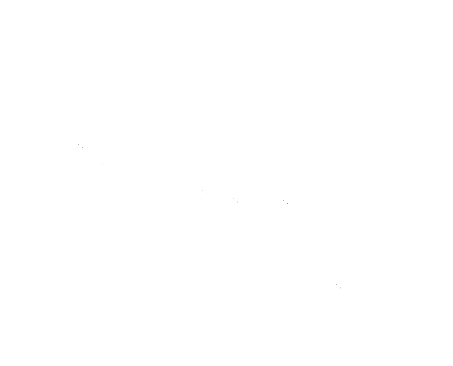 C[C@H](F)C[C@@](C)(CNc1ccc(-c2cc(Cl)cc(C(N)=O)c2)nn1)c1ncccc1F